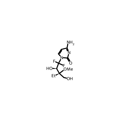 CC[C@](CO)(OC)[C@@H](O)C(F)(F)n1ccc(N)nc1=O